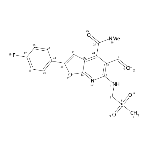 C=Cc1c(NCS(C)(=O)=O)nc2oc(-c3ccc(F)cc3)cc2c1C(=O)NC